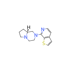 c1cc2ccsc2c(N2CCN3CCC[C@@H]3C2)n1